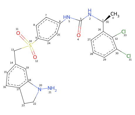 C[C@H](NC(=O)Nc1ccc(S(=O)(=O)Cc2ccc3c(c2)N(N)CC3)cc1)c1cccc(Cl)c1Cl